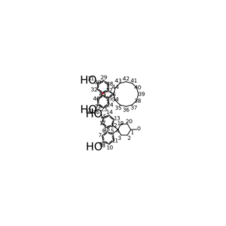 CC1CCC(c2ccc(O)cc2)(c2ccc(O)cc2)CC1.Oc1ccc(C2(c3ccc(O)cc3)CCCCCCCCCCC2)cc1